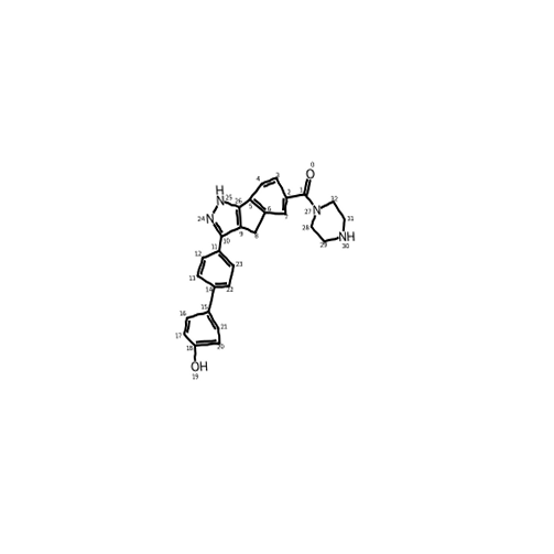 O=C(c1ccc2c(c1)Cc1c(-c3ccc(-c4ccc(O)cc4)cc3)n[nH]c1-2)N1CCNCC1